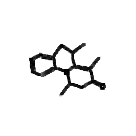 CC1=C2C(C)Cc3ccccc3N2C(C)CC1=O